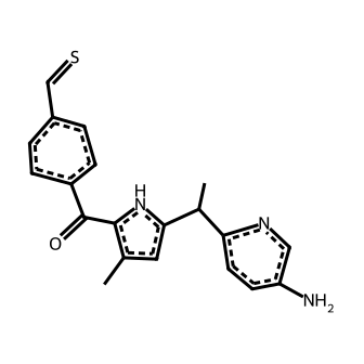 Cc1cc(C(C)c2ccc(N)cn2)[nH]c1C(=O)c1ccc(C=S)cc1